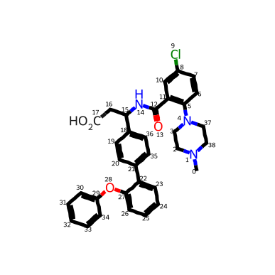 CN1CCN(c2ccc(Cl)cc2C(=O)NC(CC(=O)O)c2ccc(-c3ccccc3Oc3ccccc3)cc2)CC1